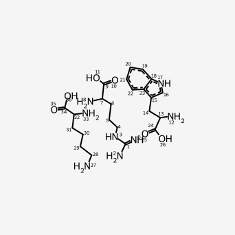 N=C(N)NCCCC(N)C(=O)O.NC(Cc1c[nH]c2ccccc12)C(=O)O.NCCCCC(N)C(=O)O